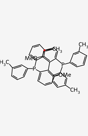 COc1cccc(P(c2cccc(C)c2)c2cccc(C)c2)c1-c1c(OC)cccc1P(c1cccc(C)c1)c1cccc(C)c1